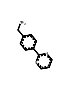 NCc1ccc(-c2ncccn2)cc1